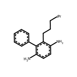 CC(C)CCCc1c(N)ccc(N)c1-c1ccccc1